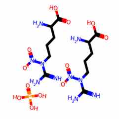 N=C(N)N(CCCC(N)C(=O)O)[N+](=O)[O-].N=C(N)N(CCCC(N)C(=O)O)[N+](=O)[O-].O=P(O)(O)O